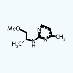 COC[C@@H](C)Nc1nccc(C)n1